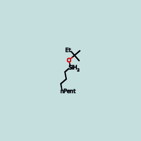 CCCCCCCC[SiH2]OC(C)(C)CC